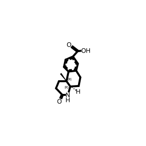 C[C@]12CCC(=O)N[C@@H]1CCc1cc(C(=O)O)ccc12